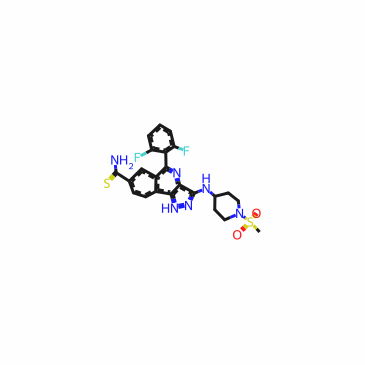 CS(=O)(=O)N1CCC(Nc2n[nH]c3c2nc(-c2c(F)cccc2F)c2cc(C(N)=S)ccc23)CC1